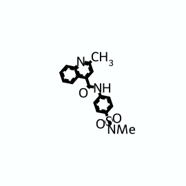 CNS(=O)(=O)c1ccc(NC(=O)c2cc(C)nc3ccccc23)cc1